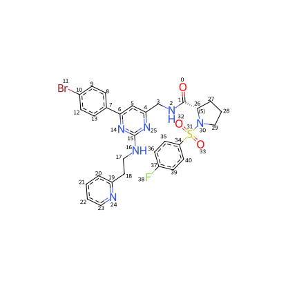 O=C(NCc1cc(-c2ccc(Br)cc2)nc(NCCc2ccccn2)n1)[C@@H]1CCCN1S(=O)(=O)c1ccc(F)cc1